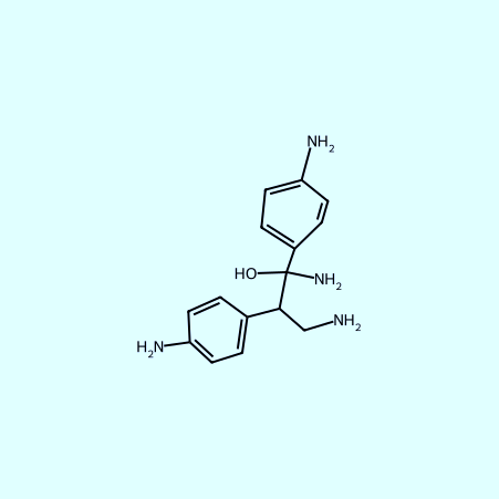 NCC(c1ccc(N)cc1)C(N)(O)c1ccc(N)cc1